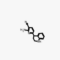 N#Cc1ccc(C2CCNc3ccccc32)nc1N